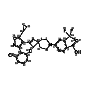 O=C(O)c1cnc(N2CCC3(C=C(c4c(-c5c(Cl)cccc5Cl)noc4C4CC4)C3)CC2)cc1C(F)(F)F